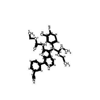 CCOC(=O)Nc1oc2c(-c3cccc(C#N)c3)nccc2c1N(C1=CCC(F)C(Cl)=C1)C(OC)OCC